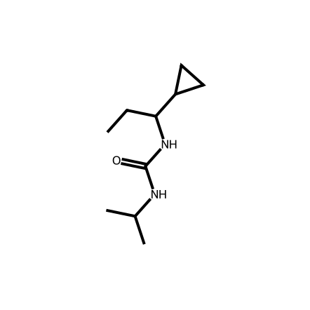 CCC(NC(=O)NC(C)C)C1CC1